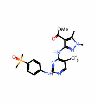 COC(=O)c1c(Nc2nc(Nc3ccc(P(C)(C)=O)cc3)ncc2C(F)(F)F)nn(C)c1C